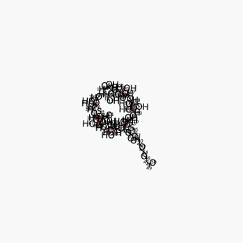 CN[C@H](CSCC1O[C@H]2O[C@@H]3C(CO)O[C@H](O[C@@H]4C(CO)O[C@H](O[C@@H]5C(CO)O[C@H](O[C@@H]6C(CSCC(CC(=O)CCOCCOCCC(C)=O)C(=O)O)O[C@H](O[C@@H]7C(CO)O[C@H](O[C@@H]8C(CO)O[C@@H](O[C@H]1[C@H](O)C2O)C(O)[C@H]8O)C(O)[C@H]7O)C(O)[C@H]6O)C(O)[C@H]5O)C(O)[C@H]4O)C(O)[C@H]3O)C(=O)O